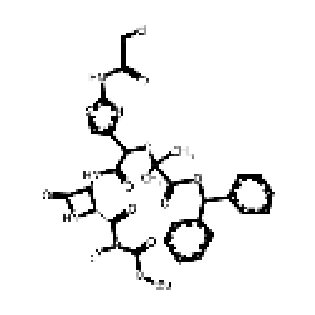 CC(C)(C)OC(=O)N(N)C(=O)[C@@H]1NC(=O)[C@@H]1NC(=O)C(OC(C)(C)C(=O)OC(c1ccccc1)c1ccccc1)c1csc(NC(=O)CCl)n1